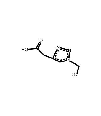 O=C(O)Cc1cn(C[18F])nn1